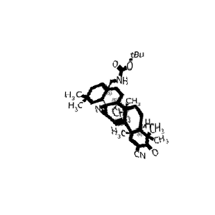 CC1(C)CC[C@]2(CNC(=O)OC(C)(C)C)CC[C@@]3(C)[C@]4(C)CC[C@H]5C(C)(C)C(=O)C(C#N)=C[C@]5(C)C4=CC4=N[C@]43C2C1